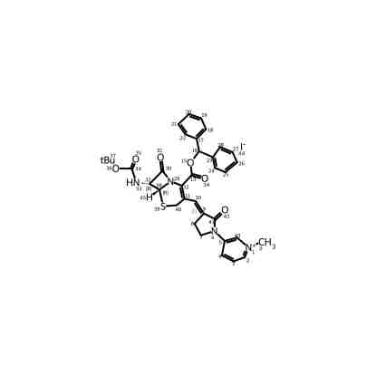 C[n+]1cccc(N2CC/C(=C\C3=C(C(=O)OC(c4ccccc4)c4ccccc4)N4C(=O)[C@@H](NC(=O)OC(C)(C)C)[C@H]4SC3)C2=O)c1.[I-]